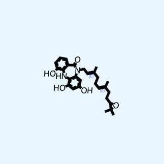 C/C(=C\CN1C(=O)c2cccc(O)c2Nc2c(O)cc(O)cc21)CC/C=C(\C)CCC1OC1(C)C